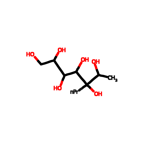 CCCC(O)(C(C)O)C(O)C(O)C(O)CO